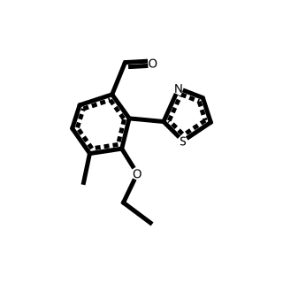 CCOc1c(C)ccc(C=O)c1-c1nccs1